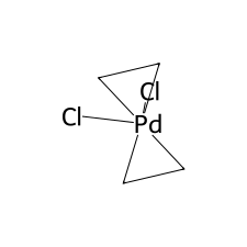 [Cl][Pd]12([Cl])([CH2][CH2]1)[CH2][CH2]2